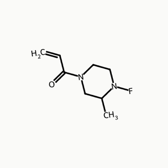 C=CC(=O)N1CCN(F)C(C)C1